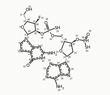 Nc1nc2c(ncn2[C@@H]2O[C@H](CO)[C@@H](F)[C@H]2OP(=O)(S)OC[C@H]2O[C@@H](c3cnn4c(N)ncnc34)C[C@@H]2O[PH](=O)S)c(=O)[nH]1